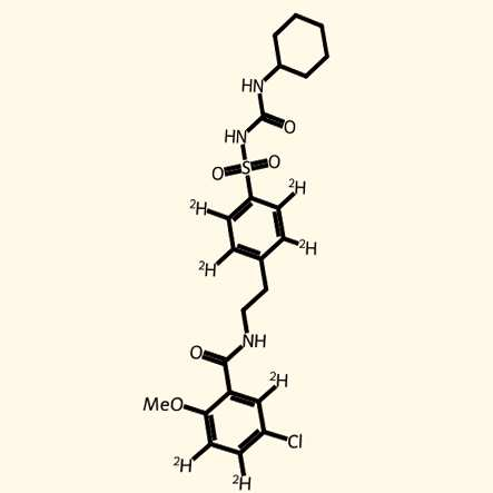 [2H]c1c([2H])c(OC)c(C(=O)NCCc2c([2H])c([2H])c(S(=O)(=O)NC(=O)NC3CCCCC3)c([2H])c2[2H])c([2H])c1Cl